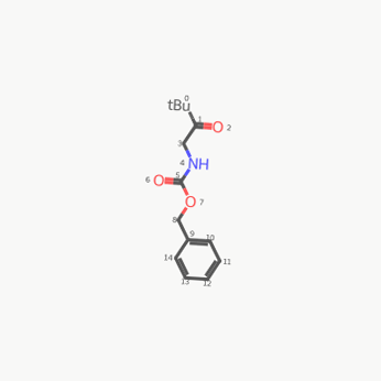 CC(C)(C)C(=O)CNC(=O)OCc1ccccc1